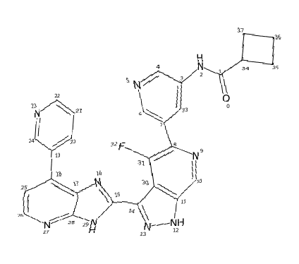 O=C(Nc1cncc(-c2ncc3[nH]nc(-c4nc5c(-c6cccnc6)ccnc5[nH]4)c3c2F)c1)C1CCC1